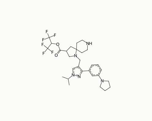 CC(C)n1cc(CN2CC(C(=O)OC(C(F)(F)F)C(F)(F)F)CC23CCNCC3)c(-c2cccc(N3CCCC3)c2)n1